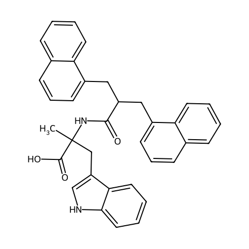 CC(Cc1c[nH]c2ccccc12)(NC(=O)C(Cc1cccc2ccccc12)Cc1cccc2ccccc12)C(=O)O